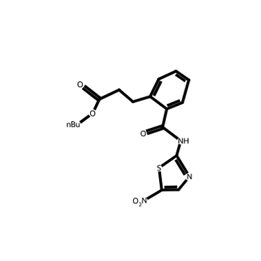 CCCCOC(=O)CCc1ccccc1C(=O)Nc1ncc([N+](=O)[O-])s1